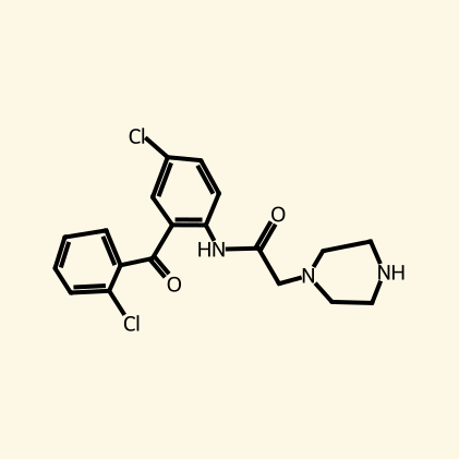 O=C(CN1CCNCC1)Nc1ccc(Cl)cc1C(=O)c1ccccc1Cl